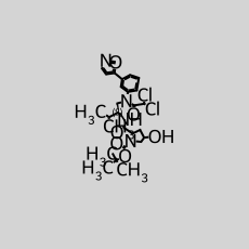 CC(C)[C@@H](CN(C(=O)C(Cl)Cl)c1cccc(-c2ccno2)c1)NC(=O)C1CC(O)CN1C(=O)OC(C)(C)C